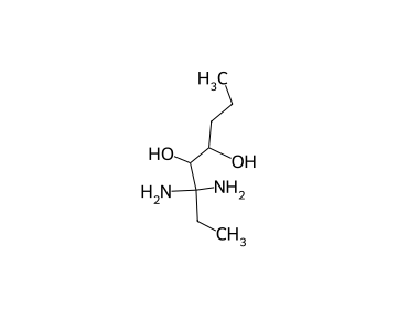 CCCC(O)C(O)C(N)(N)CC